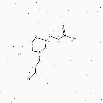 CC(C)CCCN1CCO[C@H](CNC(=O)C(C)(C)C)C1